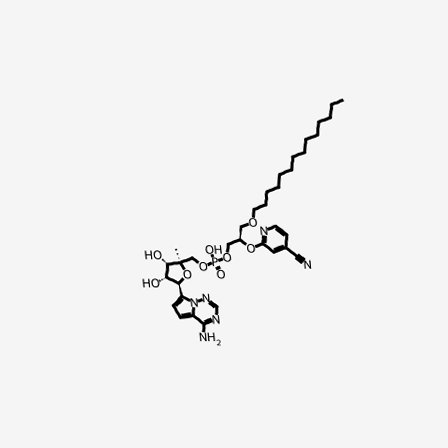 CCCCCCCCCCCCCCOC[C@H](COP(=O)(O)OC[C@@]1(C)O[C@@H](c2ccc3c(N)ncnn23)[C@H](O)[C@@H]1O)Oc1cc(C#N)ccn1